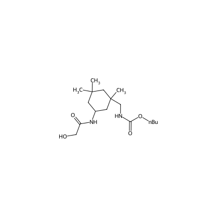 CCCCOC(=O)NCC1(C)CC(NC(=O)CO)CC(C)(C)C1